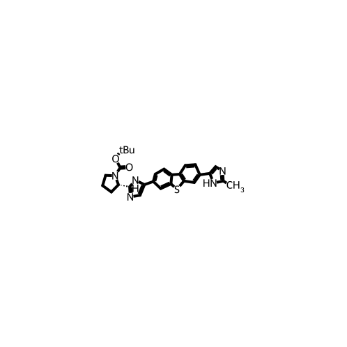 Cc1ncc(-c2ccc3c(c2)sc2cc(-c4cnc([C@@H]5CCCN5C(=O)OC(C)(C)C)[nH]4)ccc23)[nH]1